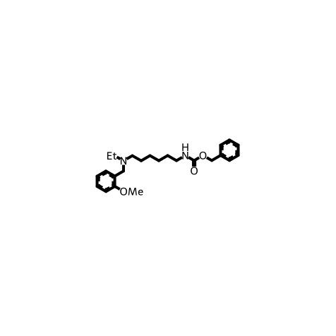 CCN(CCCCCCNC(=O)OCc1ccccc1)Cc1ccccc1OC